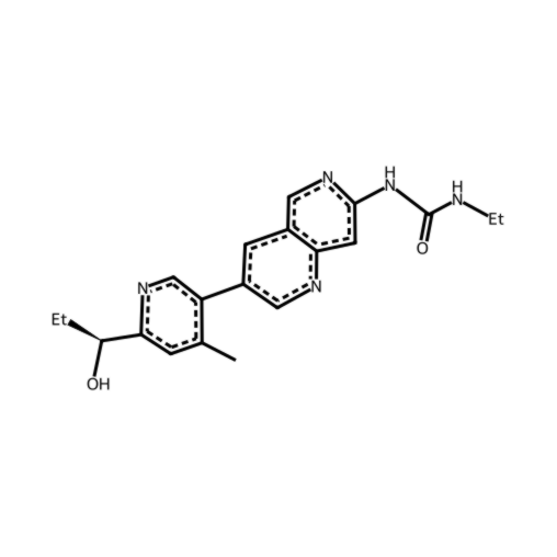 CCNC(=O)Nc1cc2ncc(-c3cnc([C@@H](O)CC)cc3C)cc2cn1